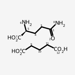 NC(=O)CC[C@H](N)C(=O)O.O=C(O)CCCC(=O)O